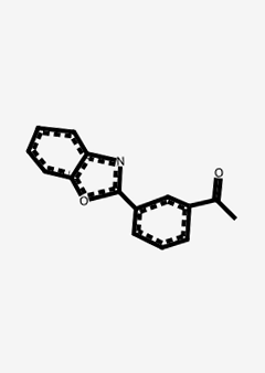 CC(=O)c1cccc(-c2nc3ccccc3o2)c1